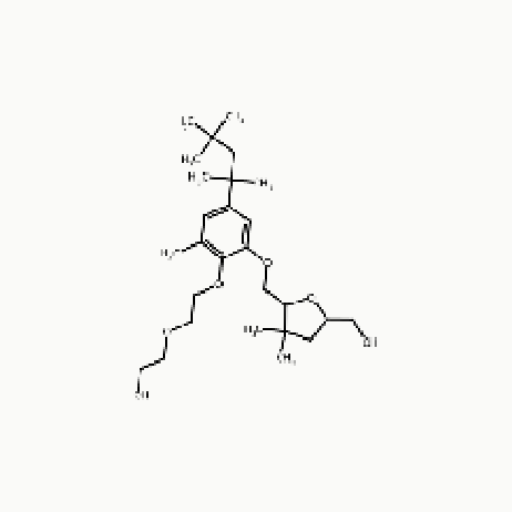 Cc1cc(C(C)(C)CC(C)(C)C)cc(OCC2OC(CO)CC2(C)C)c1OCCOCCO